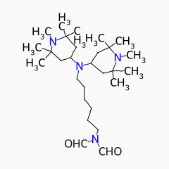 CN1C(C)(C)CC(N(CCCCCCN(C=O)C=O)C2CC(C)(C)N(C)C(C)(C)C2)CC1(C)C